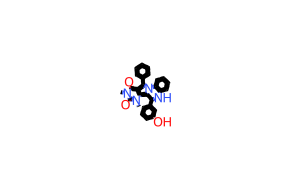 Cn1c(=O)c2c(-c3ccccc3)n3c(c2n(C)c1=O)C(c1cccc(O)c1)Nc1ccccc1-3